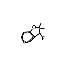 CC1(C)Oc2ccccc2C1F